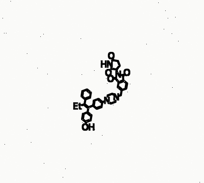 CCC(=C(c1ccc(O)cc1)c1ccc(N2CCN(Cc3ccc4c(c3)C(=O)N(C3CCC(=O)NC3=O)C4=O)CC2)cc1)c1ccccc1